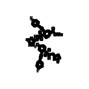 COC(=O)c1ccc(S(=O)(=O)NCc2ccn(C)n2)c(C#Cc2ccc(F)cc2)c1.Cn1ccc(CNS(=O)(=O)c2ccc(C(=O)O)cc2C#Cc2ccc(F)cc2)n1